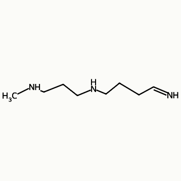 CNCCCNCCCC=N